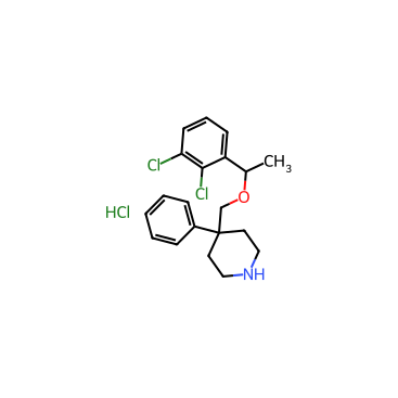 CC(OCC1(c2ccccc2)CCNCC1)c1cccc(Cl)c1Cl.Cl